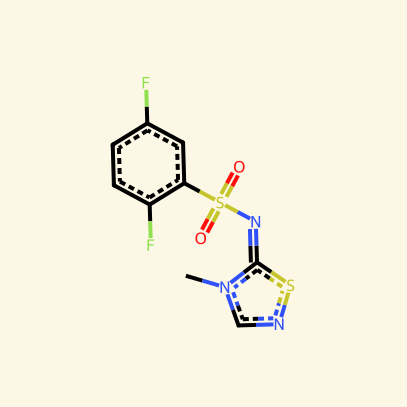 Cn1cnsc1=NS(=O)(=O)c1cc(F)ccc1F